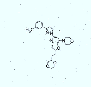 Cc1cccc(-c2ccn(-c3cc(N4CCOCC4)c4oc(CC[C@H]5COCCO5)cc4n3)n2)c1